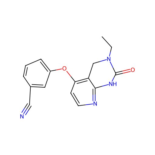 CCN1Cc2c(Oc3cccc(C#N)c3)ccnc2NC1=O